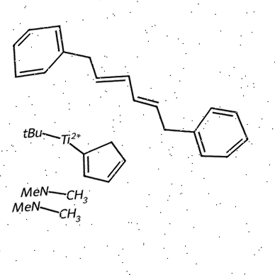 C(C=CCc1ccccc1)=CCc1ccccc1.C[C](C)(C)[Ti+2][C]1=CC=CC1.C[N-]C.C[N-]C